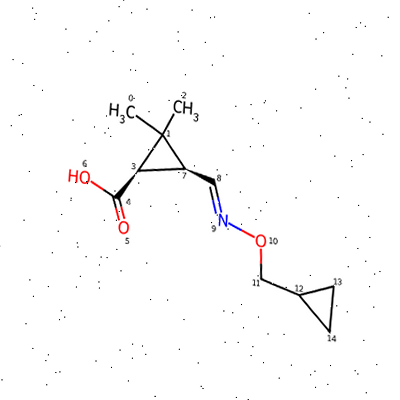 CC1(C)[C@H](C(=O)O)[C@@H]1C=NOCC1CC1